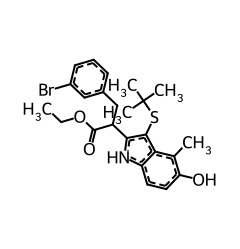 CCOC(=O)C(Cc1cccc(Br)c1)c1[nH]c2ccc(O)c(C)c2c1SC(C)(C)C